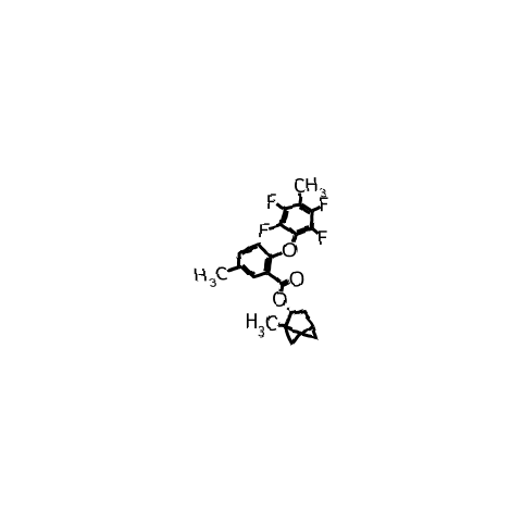 Cc1ccc(Oc2c(F)c(F)c(C)c(F)c2F)c(C(=O)O[C@@H]2CC3CC34CC24C)c1